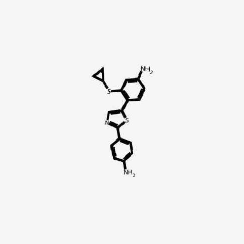 Nc1ccc(-c2ncc(-c3ccc(N)cc3SC3CC3)s2)cc1